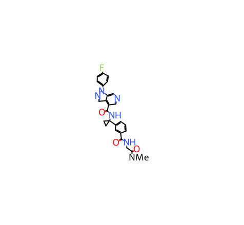 CNC(=O)CNC(=O)c1cccc(C2(NC(=O)c3cncc4c3cnn4-c3ccc(F)cc3)CC2)c1